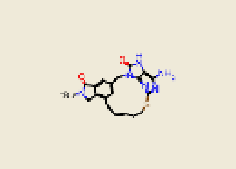 CC(C)(C)N1Cc2c3cc(cc2C1=O)Cn1c(=O)[nH]c2c(N)nc(nc21)SCC/C=C/C3